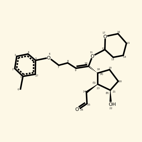 Cc1cccc(OCCC=C(OC2CCCCO2)[C@@H]2CC[C@@H](O)[C@H]2CC=O)c1